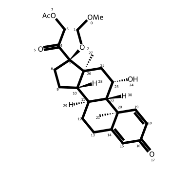 COCO[C@]1(C(=O)COC(C)=O)CC[C@H]2[C@@H]3CCC4=CC(=O)C=C[C@]4(C)[C@H]3[C@@H](O)C[C@@]21C